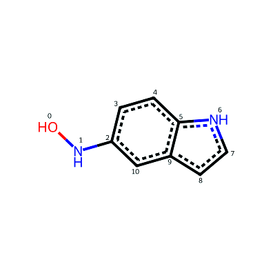 ONc1ccc2[nH]ccc2c1